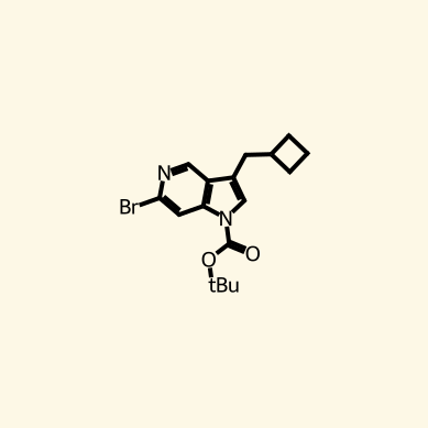 CC(C)(C)OC(=O)n1cc(CC2CCC2)c2cnc(Br)cc21